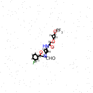 O=CN(CC(=O)c1cccc(F)c1)C12CC(NC(=O)COC3CC(OC(F)(F)F)C3)(C1)C2